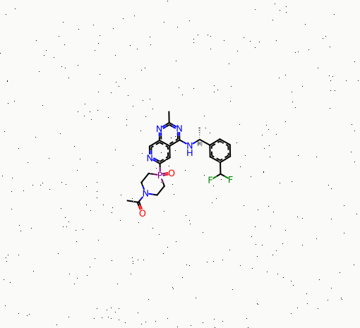 CC(=O)N1CCP(=O)(c2cc3c(N[C@H](C)c4cccc(C(F)F)c4)nc(C)nc3cn2)CC1